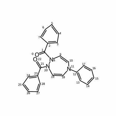 O=C(c1ccccc1)n1ccn(-c2ccccc2)ccn1C(=O)c1ccccc1